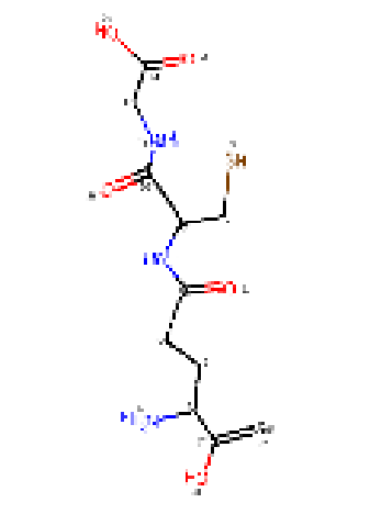 NC(CCC(=O)NC(CS)C(=O)NCC(=O)O)C(O)=[Se]